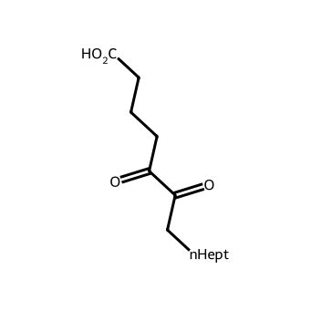 CCCCCCCCC(=O)C(=O)CCCC(=O)O